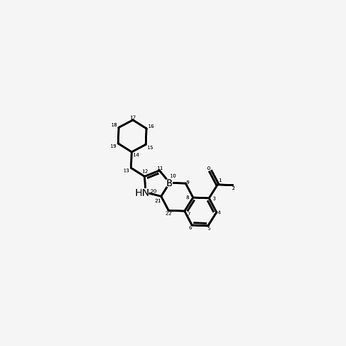 C=C(C)c1cccc2c1CB1C=C(CC3CCCCC3)NC1C2